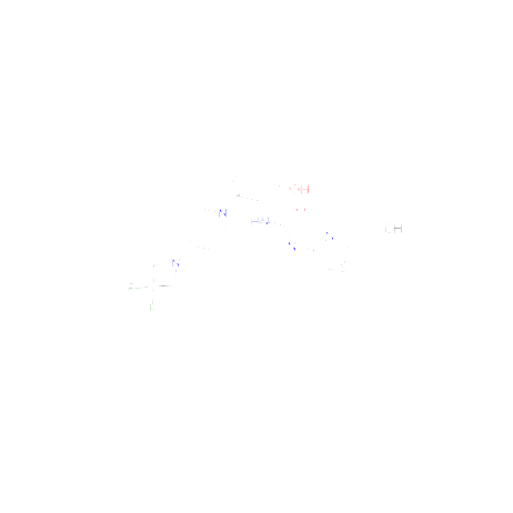 C#Cc1nc(NC(=O)NC(CO)C(=O)N2CCC(N3CC(F)(F)C3)CC2)cs1